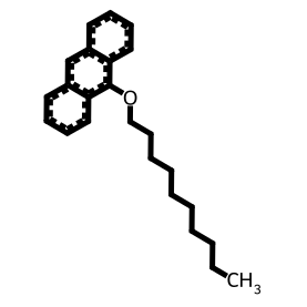 CCCCCCCCCCOc1c2ccccc2cc2ccccc12